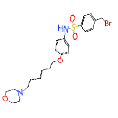 O=S(=O)(Nc1ccc(OCCCCCCN2CCOCC2)cc1)c1ccc(CBr)cc1